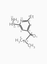 CCc1cc(C(=O)N(C)C)cc(NN)n1